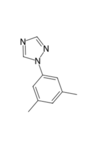 Cc1cc(C)cc(-n2cncn2)c1